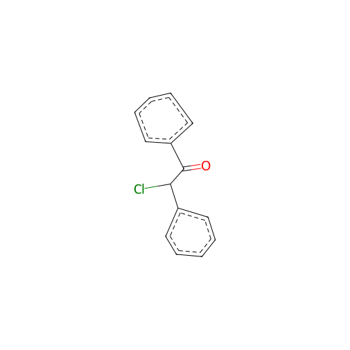 O=C(c1ccccc1)C(Cl)c1ccccc1